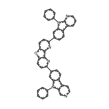 c1ccc(-n2c3cnccc3c3ccc(-c4ccc5oc6ccc(-c7ccc8c9cccnc9n(-c9ccccc9)c8c7)nc6c5n4)cc32)cc1